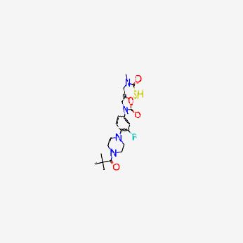 CN(C[C@@H]1CN(c2ccc(N3CCN(C(=O)C(C)(C)C)CC3)c(F)c2)C(=O)O1)C(=O)S